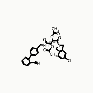 CC(=O)O[C@@H](C(=O)NCc1ccc(-c2ccccc2C#N)cc1)[C@@H](OC(C)=O)C(=O)N1Cc2ccc(Cl)cc2C1